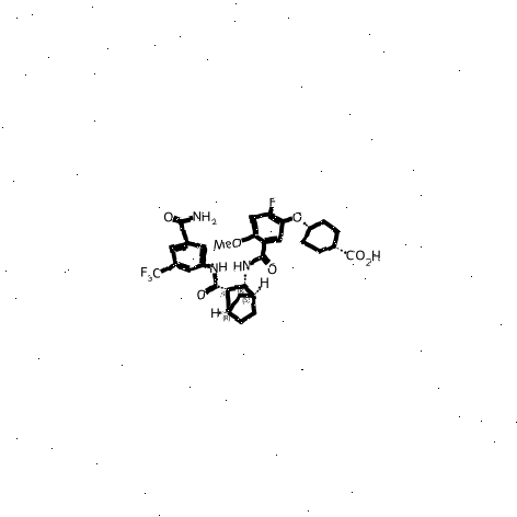 COc1cc(F)c(O[C@H]2CC[C@@H](C(=O)O)CC2)cc1C(=O)N[C@@H]1[C@H]2CC[C@H](C2)[C@@H]1C(=O)Nc1cc(C(N)=O)cc(C(F)(F)F)c1